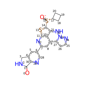 O=C1NCc2cc(-c3cc4c5c(n3)sc([S+]([O-])C3CCC3)c5[nH]n3nccc43)cnc21